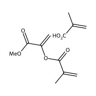 C=C(C)C(=O)O.C=C(C)C(=O)OC(=C)C(=O)OC